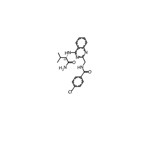 CC(C)[C@H](Nc1nc(CNC(=O)c2ccc(Cl)cc2)nc2ccccc12)C(N)=O